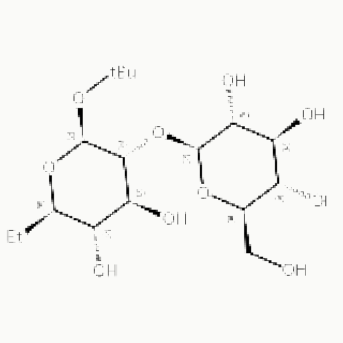 CC[C@H]1O[C@@H](OC(C)(C)C)[C@H](O[C@@H]2O[C@H](CO)[C@@H](O)[C@H](O)[C@H]2O)[C@@H](O)[C@@H]1O